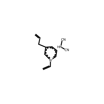 C=CCc1ccc[n+](C=C)c1.N#CNC#N